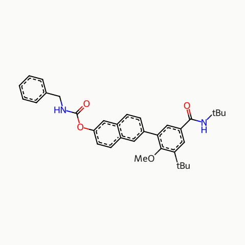 COc1c(-c2ccc3cc(OC(=O)NCc4ccccc4)ccc3c2)cc(C(=O)NC(C)(C)C)cc1C(C)(C)C